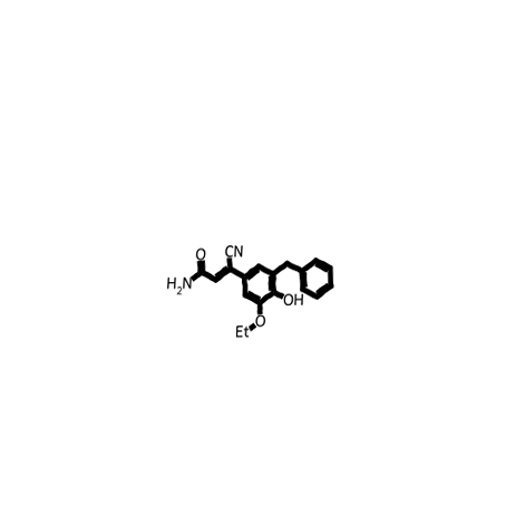 CCOc1cc(C(C#N)=CC(N)=O)cc(Cc2ccccc2)c1O